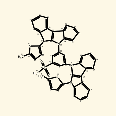 Cc1ccc(-n2c3ccccc3c3c4ccccc4n(-c4cc(-n5c6ccccc6c6c7ccccc7n(-c7ccc(C)s7)c65)cc(S(C)(=O)=O)c4)c32)s1